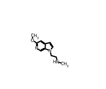 CNCCn1ccc2cc(OC)ncc21